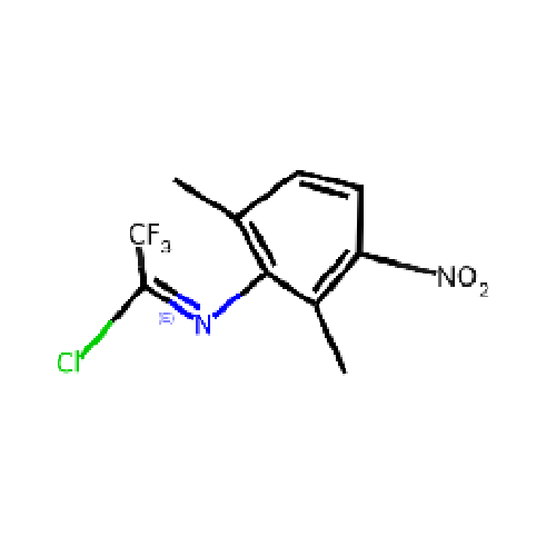 Cc1ccc([N+](=O)[O-])c(C)c1/N=C(/Cl)C(F)(F)F